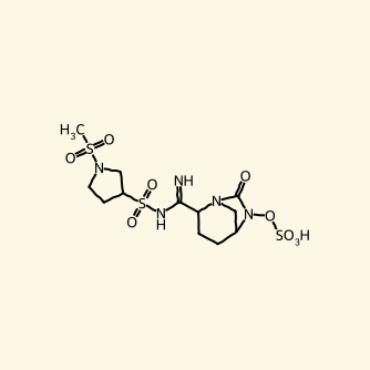 CS(=O)(=O)N1CCC(S(=O)(=O)NC(=N)C2CCC3CN2C(=O)N3OS(=O)(=O)O)C1